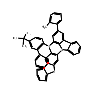 Cc1ccccc1-c1cc2c3c(c1)N(c1ccc(C(C)(C)C)cc1-c1ccccc1)c1cc4c(cc1B3c1ccccc1-2)sc1ccccc14